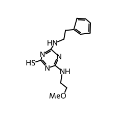 COCCNc1nc(S)nc(NCCc2ccccc2)n1